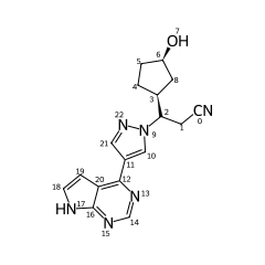 N#CCC([C@H]1CC[C@@H](O)C1)n1cc(-c2ncnc3[nH]ccc23)cn1